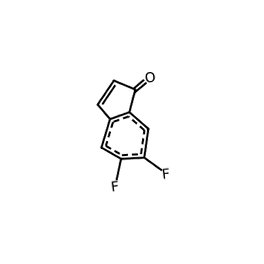 O=C1C=Cc2cc(F)c(F)cc21